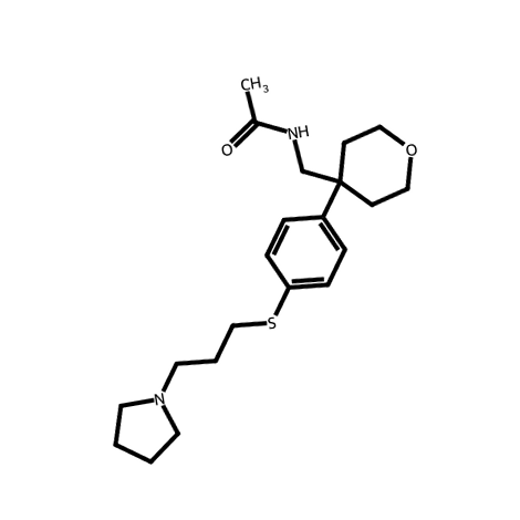 CC(=O)NCC1(c2ccc(SCCCN3CCCC3)cc2)CCOCC1